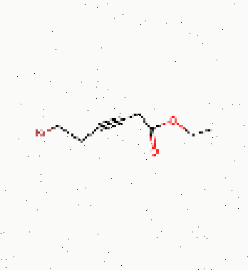 CCOC(=O)CC#CCCBr